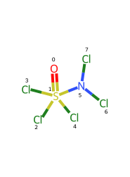 O=S(Cl)(Cl)(Cl)N(Cl)Cl